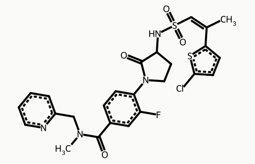 CC(=CS(=O)(=O)NC1CCN(c2ccc(C(=O)N(C)Cc3ccccn3)cc2F)C1=O)c1ccc(Cl)s1